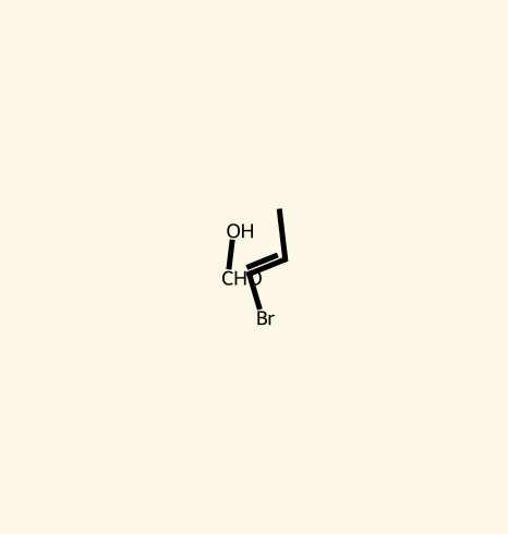 CC=CBr.O=CO